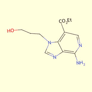 CCOC(=O)c1cnc(N)c2ncn(CCCO)c12